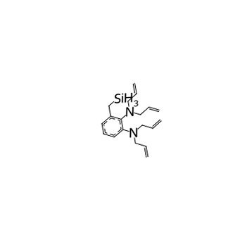 C=CCN(CC=C)c1cccc(C[SiH3])c1N(CC=C)CC=C